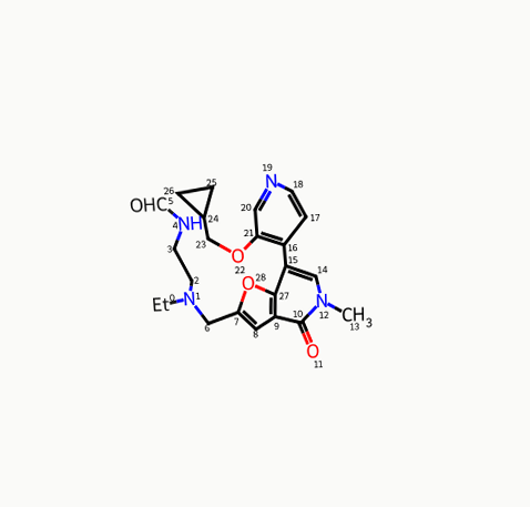 CCN(CCNC=O)Cc1cc2c(=O)n(C)cc(-c3ccncc3OCC3CC3)c2o1